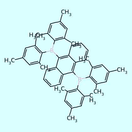 Cc1cc(C)c(B(c2c(C)cc(C)cc2C)c2c3ccccc3c(B(c3c(C)cc(C)cc3C)c3c(C)cc(C)cc3C)c3ccccc23)c(C)c1